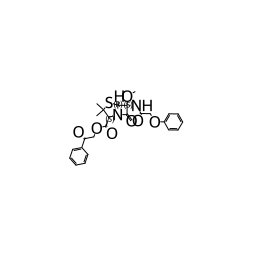 CO[C@@]1(NC(=O)COc2ccccc2)C(=O)N2[C@@H](C(=O)OCC(=O)c3ccccc3)C(C)(C)S[C@@H]21